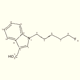 O=C(O)c1cn(CCCCCF)c2ccccc12